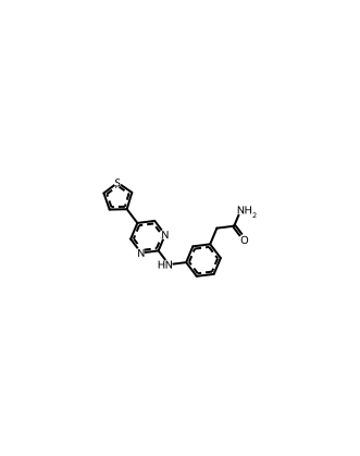 NC(=O)Cc1cccc(Nc2ncc(-c3ccsc3)cn2)c1